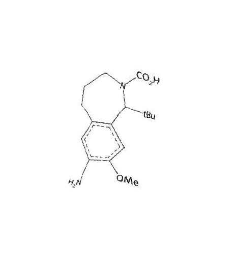 COc1cc2c(cc1N)CCCN(C(=O)O)C2C(C)(C)C